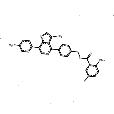 COc1ccc(F)cc1C(=O)NCc1ccc(-c2ncc(-c3ccc(C)cn3)c3[nH]nc(N)c23)cc1